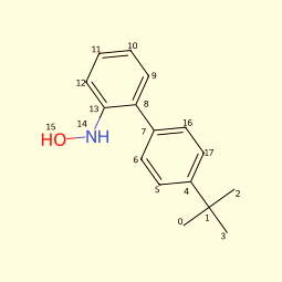 CC(C)(C)c1ccc(-c2ccccc2NO)cc1